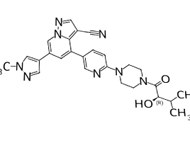 CC(C)[C@@H](O)C(=O)N1CCN(c2ccc(-c3cc(-c4cnn(C)c4)cn4ncc(C#N)c34)cn2)CC1